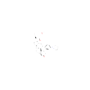 CC(=O)OCC(=O)[C@@]1(C#CCO)CC[C@H]2[C@@H]3CCC4=CC(=O)CCC4=C3[C@@H](c3ccc(N4CCCC4)cc3)C[C@@]21C